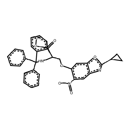 COC(=O)C(COc1cc2oc(C3CC3)nc2cc1[N+](=O)[O-])NC(c1ccccc1)(c1ccccc1)c1ccccc1